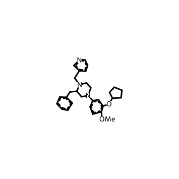 COc1ccc(N2CCN(Cc3cccnc3)C(Cc3ccccc3)C2)cc1OC1CCCC1